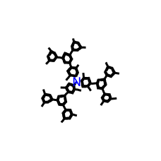 Cc1cc(C)cc(-c2cc(-c3cc(C)cc(C)c3)cc(-c3cc(C)c(N(c4cc(C)c(-c5cc(-c6cc(C)cc(C)c6)cc(-c6cc(C)cc(C)c6)c5)cc4C)c4cc(C)c(-c5cc(-c6cc(C)cc(C)c6)cc(-c6cc(C)cc(C)c6)c5)cc4C)cc3C)c2)c1